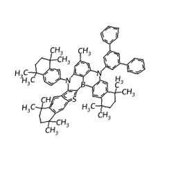 Cc1cc2c3c(c1)N(c1ccc4c(c1)C(C)(C)CCC4(C)C)c1c(sc4cc5c(cc14)C(C)(C)CCC5(C)C)B3c1cc3c(cc1N2c1cc(-c2ccccc2)cc(-c2ccccc2)c1)C(C)(C)CCC3(C)C